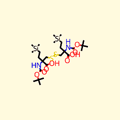 CC(C)(C)OC(=O)NC(CC[Si](C)(C)C)(CSSCC(CC[Si](C)(C)C)(NC(=O)OC(C)(C)C)C(=O)O)C(=O)O